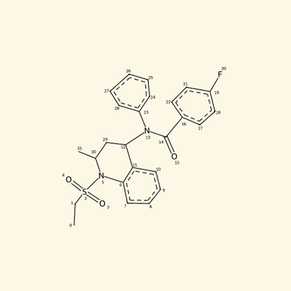 CCS(=O)(=O)N1c2ccccc2C(N(C(=O)c2ccc(F)cc2)c2ccccc2)CC1C